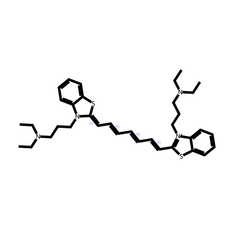 CCN(CC)CCCN1/C(=C/C=C/C=C/C=C/c2sc3ccccc3[n+]2CCCN(CC)CC)Sc2ccccc21